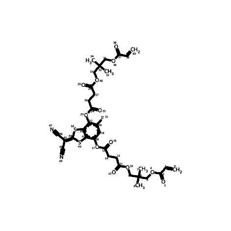 C=CC(=O)OCC(C)(C)COC(=O)CCC(=O)Oc1cc(F)c(OC(=O)CCC(=O)OCC(C)(C)COC(=O)C=C)c2c1SC(=C(C#N)C#N)S2